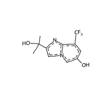 CC(C)(O)c1cn2cc(O)cc(C(F)(F)F)c2n1